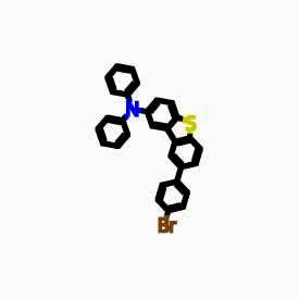 Brc1ccc(-c2ccc3sc4ccc(N(c5ccccc5)c5ccccc5)cc4c3c2)cc1